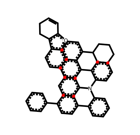 C1=Cc2oc3cc(-c4cccc(N(c5ccccc5-c5ccc(-c6ccccc6)cc5)c5ccccc5-c5cccc6cccc(C7CCCCC7)c56)c4)ccc3c2CC1